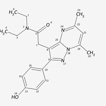 CCN(CC)C(=O)Cc1c(-c2ccc(O)cc2)nn2c(C)cc(C)nc12